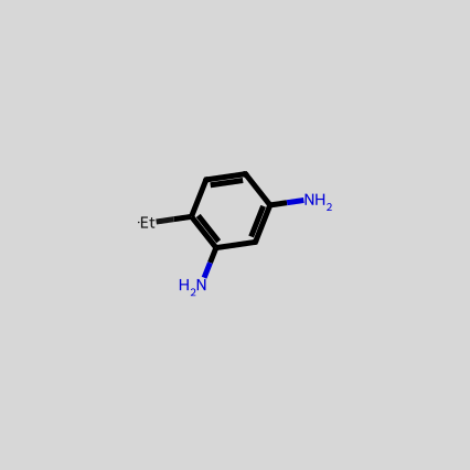 C[CH]c1ccc(N)cc1N